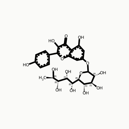 C[C@@H](O)[C@@H](O)[C@H](O)[C@@H](O)[C@H]1OC(Oc2cc(O)c3c(=O)c(O)c(-c4ccc(O)cc4)oc3c2)[C@H](O)[C@@H](O)[C@@H]1O